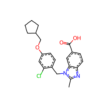 Cc1nc2ccc(C(=O)O)cc2n1Cc1ccc(OCC2CCCC2)cc1Cl